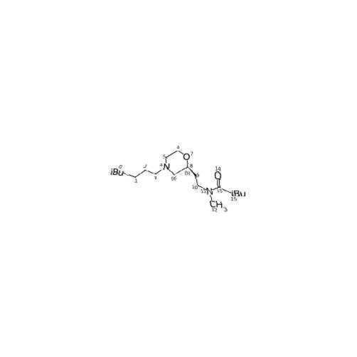 CCC(C)CCCN1CCO[C@@H](CCN(C)C(=O)C(C)CC)C1